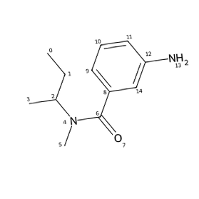 CCC(C)N(C)C(=O)c1cccc(N)c1